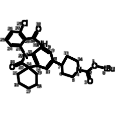 CC(C)(C)OC(=O)N1CCC(c2ccc3c(c2)C2(CCCCC2)C(=O)N3c2cccc(Cl)c2C(N)=O)CC1